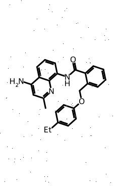 CCc1ccc(OCc2ccccc2C(=O)Nc2cccc3c(N)cc(C)nc23)cc1